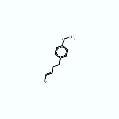 COc1ccc(CCC=CBr)cc1